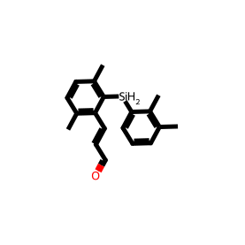 Cc1cccc([SiH2]c2c(C)ccc(C)c2C=CC=O)c1C